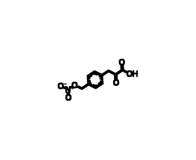 O=C(O)C(=O)Cc1ccc(CO[N+](=O)[O-])cc1